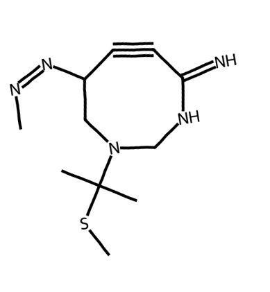 C/N=N\C1C#CC(=N)NCN(C(C)(C)SC)C1